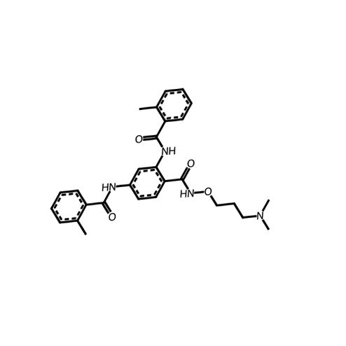 Cc1ccccc1C(=O)Nc1ccc(C(=O)NOCCCN(C)C)c(NC(=O)c2ccccc2C)c1